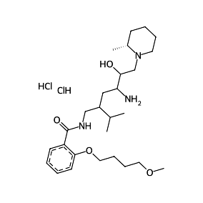 COCCCCOc1ccccc1C(=O)NCC(CC(N)C(O)CN1CCCC[C@H]1C)C(C)C.Cl.Cl